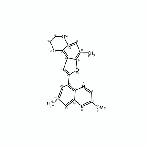 COc1cnc2c(-c3cc4c5c(cc(C)c4o3)OCCO5)cc(C)cc2n1